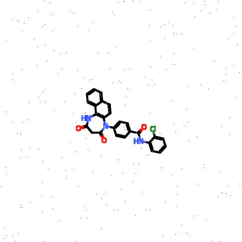 O=C1CC(=O)N(c2ccc(C(=O)Nc3ccccc3Cl)cc2)c2ccc3ccccc3c2N1